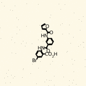 O=C(Nc1ccc(Br)cc1C(=O)O)c1cccc(NC(=O)c2ccco2)c1